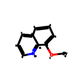 CC(C)Oc1cccc2cccnc12